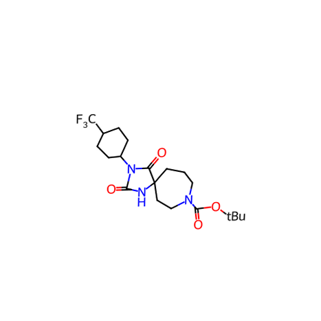 CC(C)(C)OC(=O)N1CCCC2(CC1)NC(=O)N(C1CCC(C(F)(F)F)CC1)C2=O